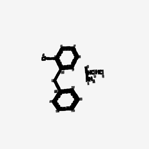 CN.Cl.Cl.Clc1ccccc1Cc1ccccc1